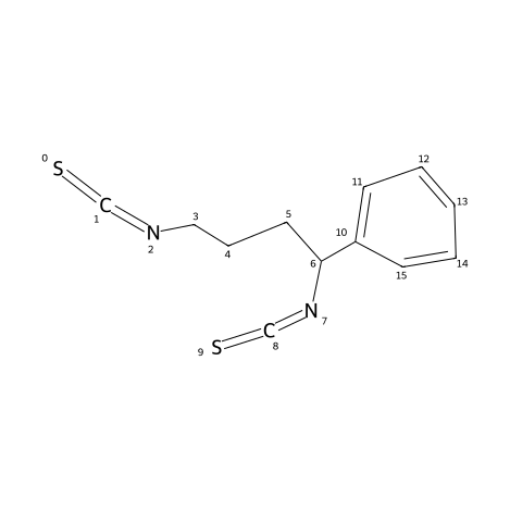 S=C=NCCCC(N=C=S)c1ccccc1